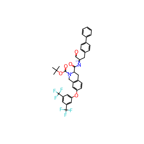 CC(C)(C)OC(=O)N1Cc2cc(Oc3cc(C(F)(F)F)cc(C(F)(F)F)c3)ccc2CC1C(=O)/N=C(\C=O)Cc1ccc(-c2ccccc2)cc1